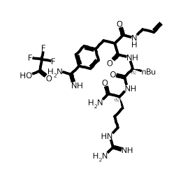 C=CCNC(=O)C(Cc1ccc(C(=N)N)cc1)C(=O)N[C@@H](CCCC)C(=O)N[C@@H](CCCNC(=N)N)C(N)=O.O=C(O)C(F)(F)F